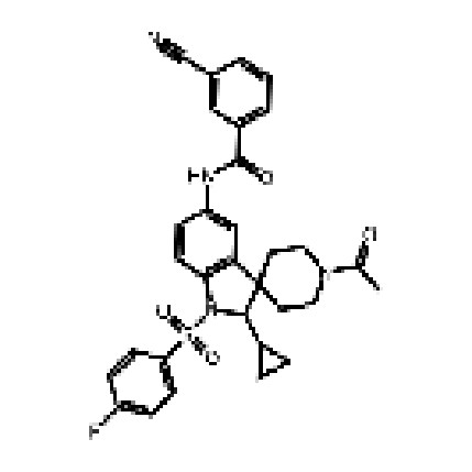 CC(=O)N1CCC2(CC1)c1cc(NC(=O)c3cccc(C#N)c3)ccc1N(S(=O)(=O)c1ccc(F)cc1)C2C1CC1